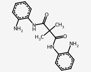 CC(C)(C(=O)Nc1ccccc1N)C(=O)Nc1ccccc1N